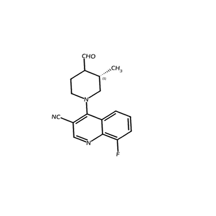 C[C@@H]1CN(c2c(C#N)cnc3c(F)cccc23)CCC1C=O